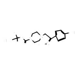 Cc1ccc(C(CN2CCN(C(=O)OC(C)(C)C)CC2)=NO)cc1